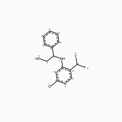 OCC(Nc1nc(Cl)ncc1C(F)F)c1ccccc1